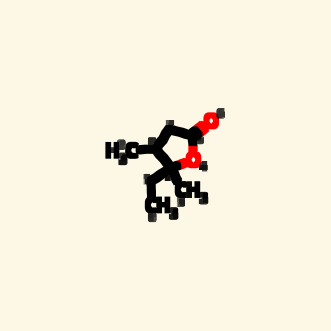 CCC1(C)OC(=O)CC1C